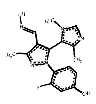 Cc1nn(-c2ccc(O)cc2F)c(-c2c(C)ncn2C)c1C=NO